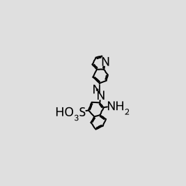 Nc1c(/N=N/c2ccc3ncccc3c2)cc(S(=O)(=O)O)c2ccccc12